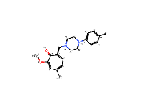 CCCOc1cc(C(C)C)ccc(CN2CCN(c3ccc(C)cc3)CC2)c1=O